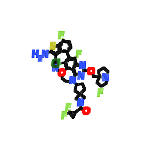 N#Cc1c(N)sc2c(F)ccc(-c3c(Cl)c4c5c(nc(OC[C@@]67CCCN6C[C@H](F)C7)nc5c3F)N(C3CCC5(C3)CN(C(=O)C3CC3(F)F)C5)CCO4)c12